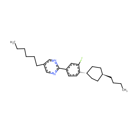 CCCCCCc1cnc(-c2ccc([C@H]3CC[C@H](CCCC)CC3)c(F)c2)nc1